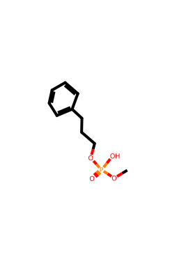 COP(=O)(O)OCCCc1ccccc1